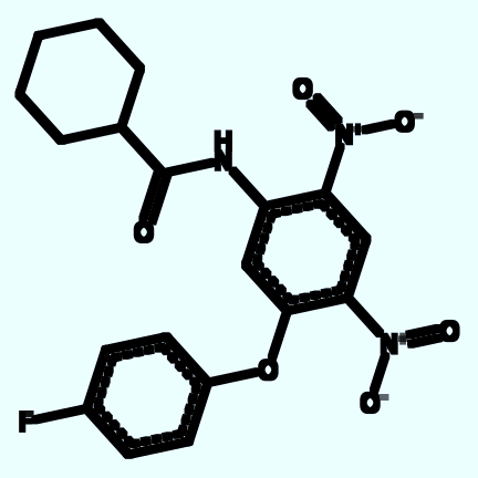 O=C(Nc1cc(Oc2ccc(F)cc2)c([N+](=O)[O-])cc1[N+](=O)[O-])C1CCCCC1